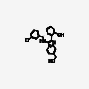 OCc1ccn2c(NCc3cccc(Cl)c3)c(-c3ccccc3O)nc2c1